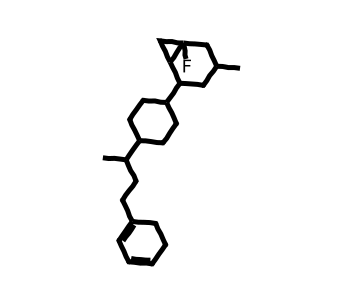 CC1CC(C2CCC(C(C)CCC3=CC=CCC3)CC2)C2CC2(F)C1